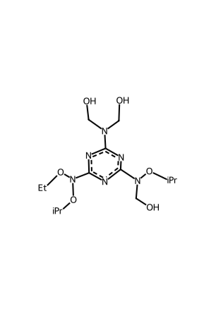 CCON(OC(C)C)c1nc(N(CO)CO)nc(N(CO)OC(C)C)n1